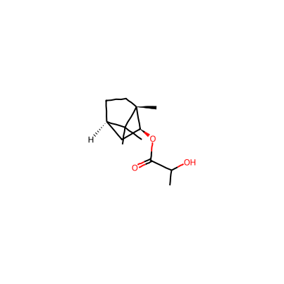 CC(O)C(=O)O[C@H]1C[C@H]2CC[C@@]1(C)C2(C)C